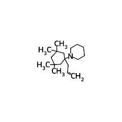 C=CCC1(N2CCCCC2)CC(C)(C)CC(C)(C)C1